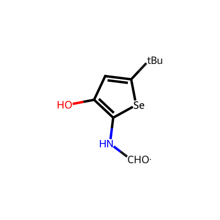 CC(C)(C)c1cc(O)c(N[C]=O)[se]1